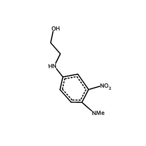 CNc1ccc(NCCO)cc1[N+](=O)[O-]